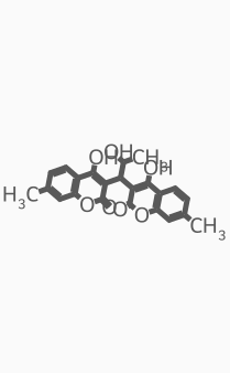 Cc1ccc2c(O)c(C(c3c(O)c4ccc(C)cc4oc3=O)C(C)O)c(=O)oc2c1